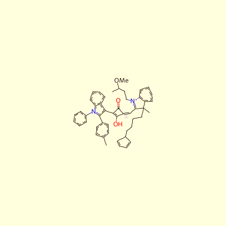 COC(C)CC[N+]1=C(/C=C2\C(=O)C(c3c(-c4ccc(C)cc4)n(-c4ccccc4)c4ccccc34)=C2O)C(C)(CCCCC2C=CC=C2)c2ccccc21